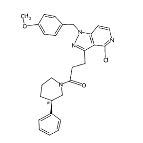 COc1ccc(Cn2nc(CCC(=O)N3CCC[C@H](c4ccccc4)C3)c3c(Cl)nccc32)cc1